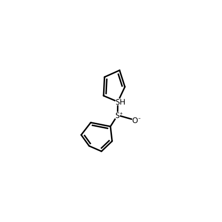 [O-][S+](c1ccccc1)[SH]1C=CC=C1